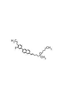 C=CCc1ccc(-c2ccc3cc(/C=C/CCCC(C)OCCCCC)ccc3c2)cc1F